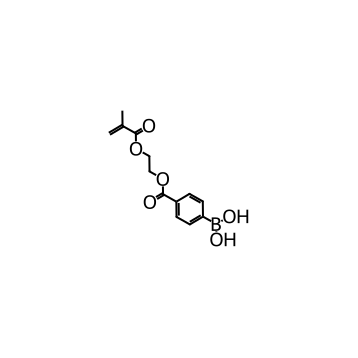 C=C(C)C(=O)OCCOC(=O)c1ccc(B(O)O)cc1